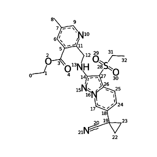 CCOC(=O)c1cc(C)cnc1CNc1nn2cc(C3(C#N)CC3)ccc2c1S(=O)(=O)CC